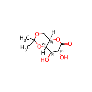 CC1(C)OC[C@H]2OC(=O)[C@H](O)[C@@H](O)[C@@H]2O1